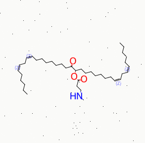 CCCCC/C=C\C/C=C\CCCCCCCC(=O)C(CCCCCCC/C=C\C/C=C\CCCCC)OC(=O)CCNC